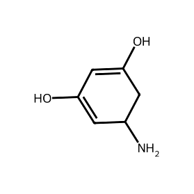 NC1C=C(O)C=C(O)C1